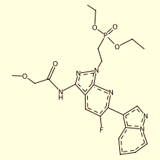 CCOP(=O)(CCn1nc(NC(=O)COC)c2cc(F)c(-c3cnn4ccccc34)nc21)OCC